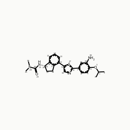 CC(C)Oc1ccc(-c2ncc(-c3cccc4c3CC[C@@H]4NC(=O)N(C)C)s2)cc1N